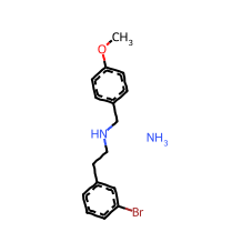 COc1ccc(CNCCc2cccc(Br)c2)cc1.N